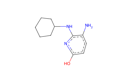 Nc1ccc(O)nc1NC1CCCCC1